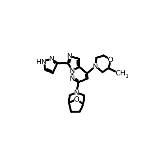 CC1CN(c2cc(N3CC4CCC(C3)O4)nn3c(-c4cc[nH]n4)ncc23)CCO1